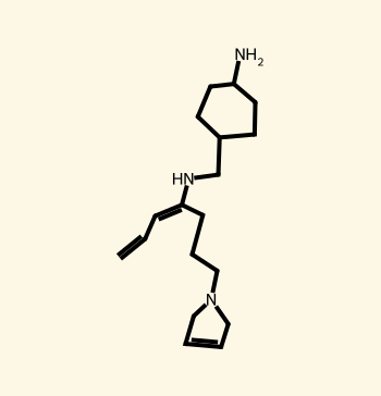 C=C/C=C(\CCCN1CC=CC1)NCC1CCC(N)CC1